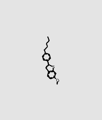 CCCCCc1ccc(C2Cc3ccc(OC)cc3S2)cc1